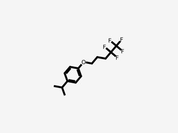 CC(C)c1ccc(OCCCC(F)(F)C(F)(F)F)cc1